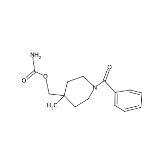 CC1(COC(N)=O)CCN(C(=O)c2ccccc2)CC1